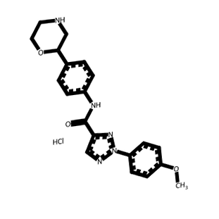 COc1ccc(-n2ncc(C(=O)Nc3ccc(C4CNCCO4)cc3)n2)cc1.Cl